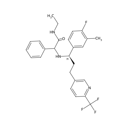 CCNC(=O)C(N[C@H](CCc1ccc(C(F)(F)F)nc1)c1ccc(F)c(C)c1)c1ccccc1